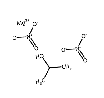 CC(C)O.O=[N+]([O-])[O-].O=[N+]([O-])[O-].[Mg+2]